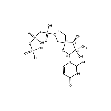 C[C@@]1(O)[C@H](O)[C@@](CF)(COP(=O)(O)OP(=O)(O)OP(=O)(O)O)O[C@H]1N1C=CC(=O)NC1O